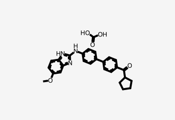 COc1ccc2[nH]c(Nc3ccc(-c4ccc(C(=O)C5CCCC5)cc4)cc3)nc2c1.O=C(O)O